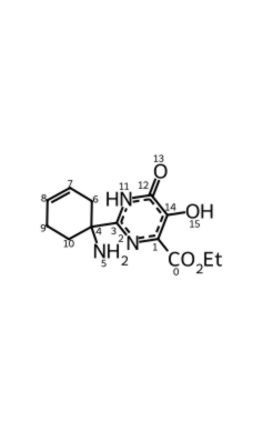 CCOC(=O)c1nc(C2(N)CC=CCC2)[nH]c(=O)c1O